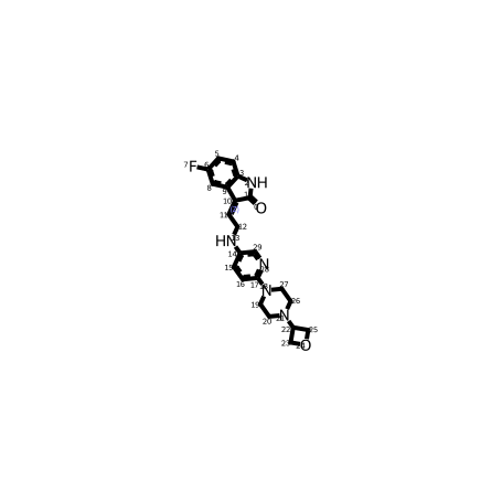 O=C1Nc2ccc(F)cc2/C1=C/CNc1ccc(N2CCN(C3COC3)CC2)nc1